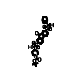 CC(C)(C)OC(=O)N1CCC(NS(=O)(=O)c2ccc3c(c2)C(=O)c2cc(S(=O)(=O)NC4CC5CCC4C5)ccc2-3)CC1